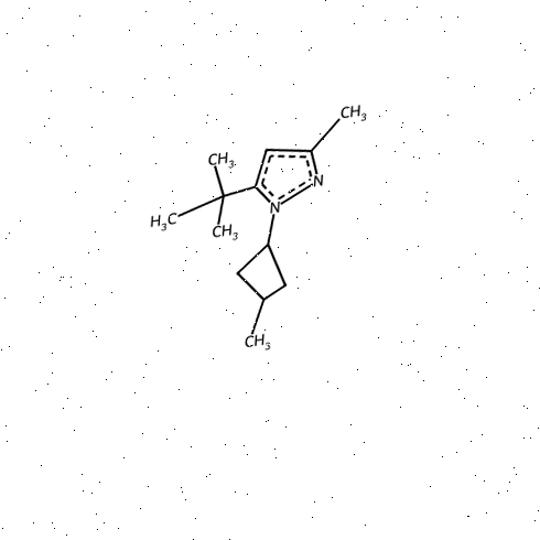 Cc1cc(C(C)(C)C)n(C2CC(C)C2)n1